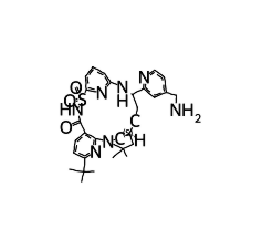 CC(C)(C)c1ccc2c(n1)N1C[C@@H](CCC(c3cc(CN)ccn3)Nc3cccc(n3)S(=O)(=O)NC2=O)CC1(C)C